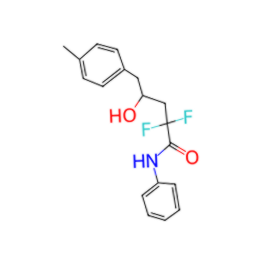 Cc1ccc(CC(O)CC(F)(F)C(=O)Nc2ccccc2)cc1